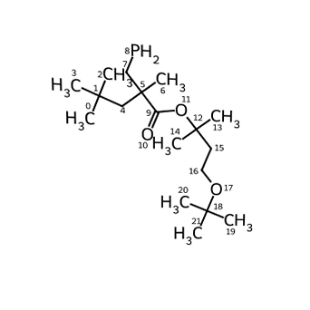 CC(C)(C)CC(C)(CP)C(=O)OC(C)(C)CCOC(C)(C)C